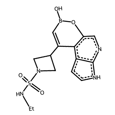 CCNS(=O)(=O)N1CC(C2=CB(O)Oc3cnc4[nH]ccc4c32)C1